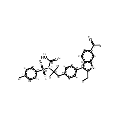 CCc1nc2cc(C(C)=O)ccc2n1-c1ccc(CC(C)(C)N(C(=O)O)S(=O)(=O)c2ccc(C)cc2)cc1